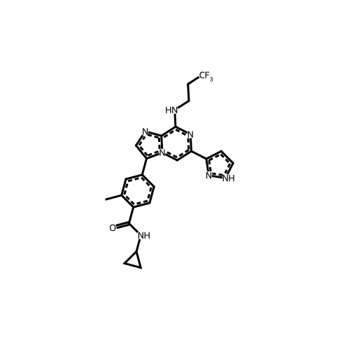 Cc1cc(-c2cnc3c(NCCC(F)(F)F)nc(-c4cc[nH]n4)cn23)ccc1C(=O)NC1CC1